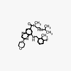 Cc1c(F)cccc1CNc1cc(C(=O)N(C)CCNC(C)C)cc2ncc(N3CCOCC3)nc12